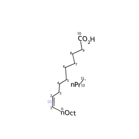 CCCCCCCC/C=C\CCCCCCCC(=O)O.[CH2]CCC